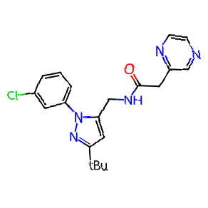 CC(C)(C)c1cc(CNC(=O)Cc2cnccn2)n(-c2cccc(Cl)c2)n1